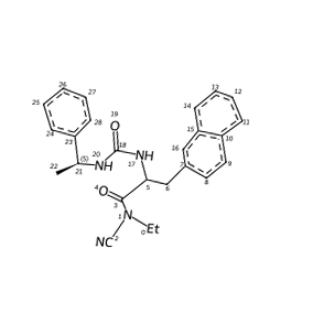 CCN(C#N)C(=O)C(Cc1ccc2ccccc2c1)NC(=O)N[C@@H](C)c1ccccc1